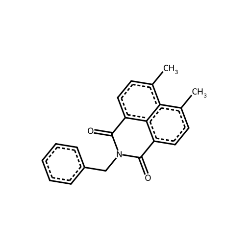 Cc1ccc2c3c(ccc(C)c13)C(=O)N(Cc1ccccc1)C2=O